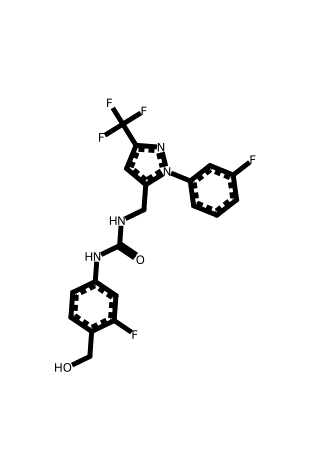 O=C(NCc1cc(C(F)(F)F)nn1-c1cccc(F)c1)Nc1ccc(CO)c(F)c1